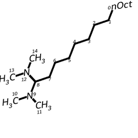 CCCCCCCCCCCCCCCC(N(C)C)N(C)C